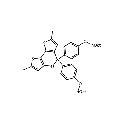 CCCCCCCCOc1ccc(C2(c3ccc(OCCCCCCCC)cc3)Oc3cc(C)sc3-c3sc(C)cc32)cc1